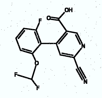 N#Cc1cc(-c2c(F)cccc2OC(F)F)c(C(=O)O)cn1